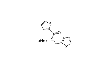 [CH2]CCCCCN(Cc1cccs1)C(=O)c1cccs1